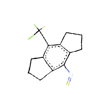 FC(F)(F)c1c2c(c(N=S)c3c1CCC3)CCC2